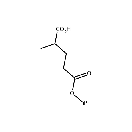 CC(C)OC(=O)CCC(C)C(=O)O